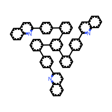 c1ccc(-c2cc(-c3ccccc3-c3ccc(-c4ccc5ccccc5n4)cc3)cc(-c3ccccc3-c3ccc(-c4ccc5ccccc5n4)cc3)c2)c(-c2ccc(-c3ccc4ccccc4n3)cc2)c1